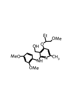 CCC(COC)Oc1cc(C)nc(Nc2ccc(OC)cc2OC)c1CO